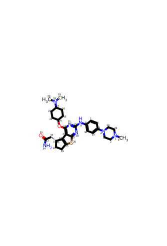 CN1CCN(c2ccc(Nc3nc(OC4CCC(N(C)C)CC4)c4c5c(sc4n3)CC[C@@H]5CC(N)=O)cc2)CC1